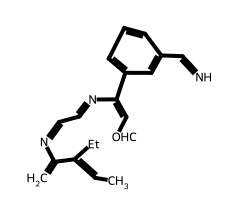 C=C(\N=C/C=N/C(=C\C=O)c1cccc(C=N)c1)/C(=C/C)CC